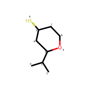 CC(C)C1CC(S)CCO1